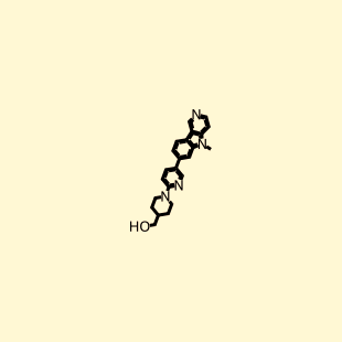 Cn1c2ccncc2c2ccc(-c3ccc(N4CCC(CO)CC4)nc3)cc21